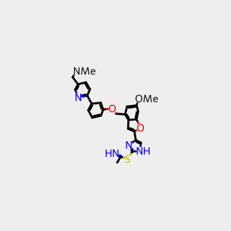 CNCc1ccc(-c2cccc(OCc3cc(OC)cc4oc(-c5c[nH]c(SC(C)=N)n5)cc34)c2)nc1